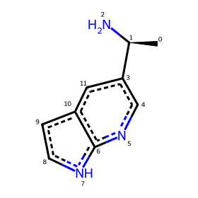 C[C@H](N)c1cnc2[nH]ccc2c1